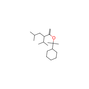 C=C(OC(C)(C)C1CCCCC1)C(CC(C)C)C(C)C